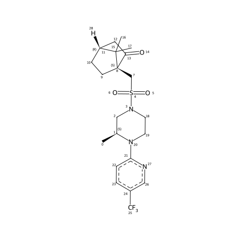 C[C@H]1CN(S(=O)(=O)C[C@]23CC[C@H](CC2=O)C3(C)C)CCN1c1ccc(C(F)(F)F)cn1